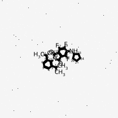 CC(C)c1cccc(C(C)C)c1N1C(=O)c2c(F)c(F)c(NC3CCCC3)c(F)c2C1=O